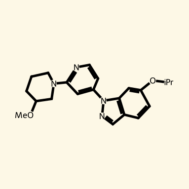 COC1CCCN(c2cc(-n3ncc4ccc(OC(C)C)cc43)ccn2)C1